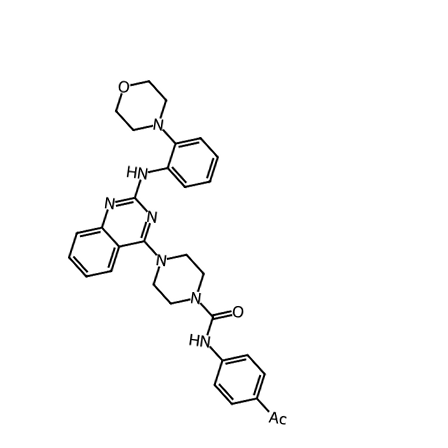 CC(=O)c1ccc(NC(=O)N2CCN(c3nc(Nc4ccccc4N4CCOCC4)nc4ccccc34)CC2)cc1